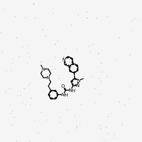 CN1CCN(CCc2cccc(NC(=O)Nc3cc(-c4ccc5ccncc5c4)n(C)n3)c2)CC1